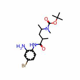 CC(CC(C)N(C)C(=O)OC(C)(C)C)C(=O)Nc1ccc(Br)cc1N